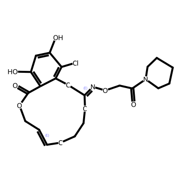 O=C1OC/C=C/CCCC/C(=N\OCC(=O)N2CCCCC2)Cc2c(Cl)c(O)cc(O)c21